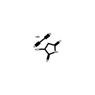 Br.N#CC#N.O=C1CC(O)C(=O)N1